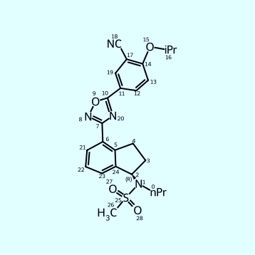 CCCN([C@@H]1CCc2c(-c3noc(-c4ccc(OC(C)C)c(C#N)c4)n3)cccc21)S(C)(=O)=O